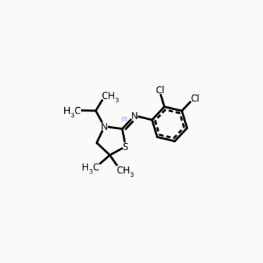 CC(C)N1CC(C)(C)S/C1=N\c1cccc(Cl)c1Cl